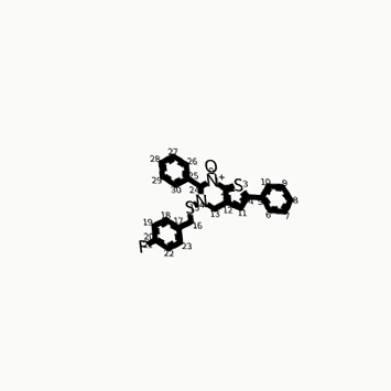 O=[N+]1c2sc(-c3ccccc3)cc2CN(SCc2ccc(F)cc2)C1c1ccccc1